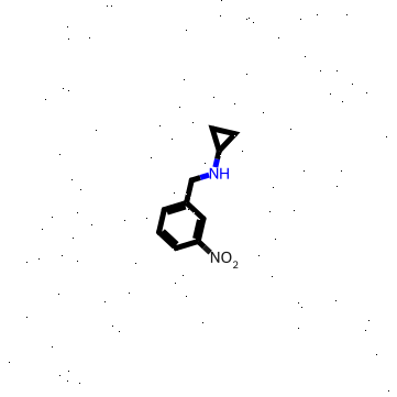 O=[N+]([O-])c1cccc(CNC2CC2)c1